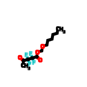 CCCCCCOCOC(=O)C(F)(F)C(F)(F)C(C)=O